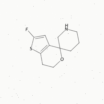 Fc1cc2c(s1)CCOC21CCCNC1